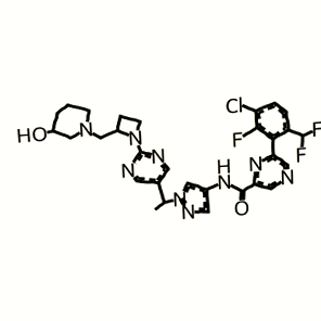 CC(c1cnc(N2CCC2CN2CCCC(O)C2)nc1)n1cc(NC(=O)c2cncc(-c3c(C(F)F)ccc(Cl)c3F)n2)cn1